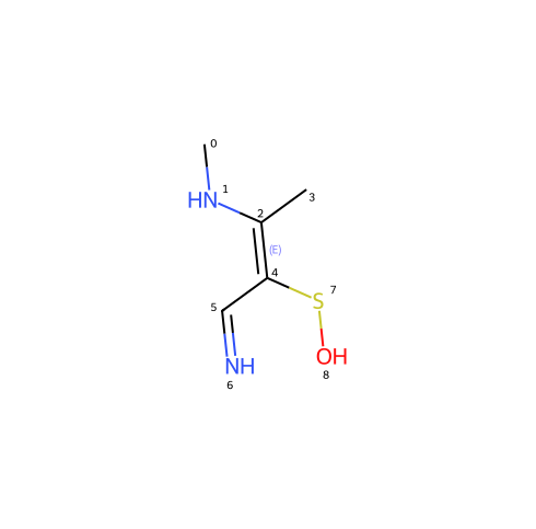 CN/C(C)=C(\C=N)SO